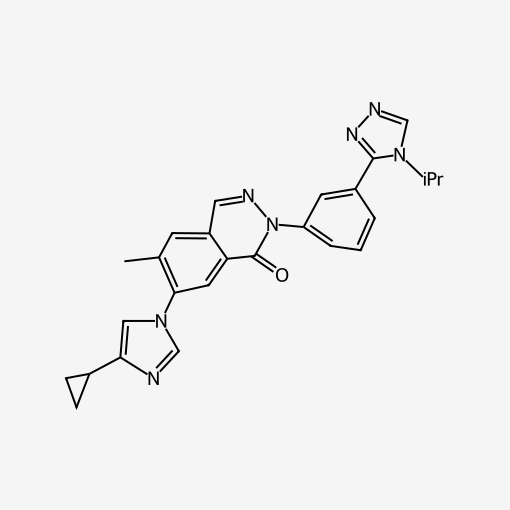 Cc1cc2cnn(-c3cccc(-c4nncn4C(C)C)c3)c(=O)c2cc1-n1cnc(C2CC2)c1